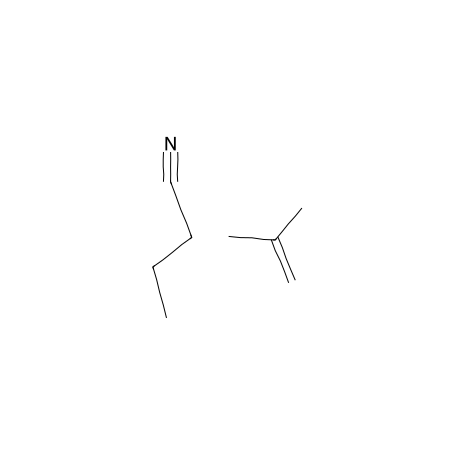 C=C(C)C.CCCC#N